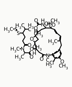 COc1cc2cc(c1Cl)N(C)C(=O)C[C@H](OC(=O)[C@@H](C)N(C)C(=O)CCC(SSC)C(C)C)[C@@]1(C)CC(C)(O1)[C@@H]1C[C@@](O)(NC(=O)O1)[C@H](OC)/C=C/C=C(\C)C2